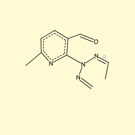 C=NN(/N=C\C)c1nc(C)ccc1C=O